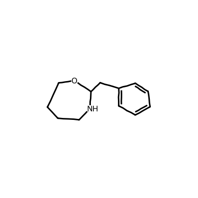 c1ccc(CC2NCCCCO2)cc1